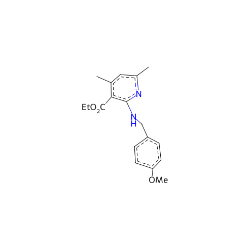 CCOC(=O)c1c(C)cc(C)nc1NCc1ccc(OC)cc1